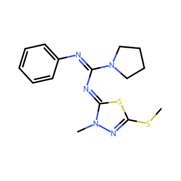 CSc1nn(C)c(=NC(=Nc2ccccc2)N2CCCC2)s1